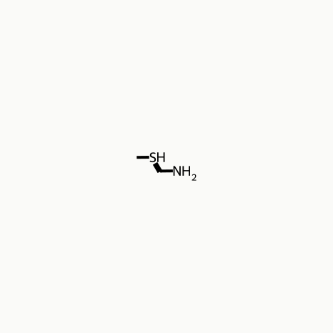 C[SH]=CN